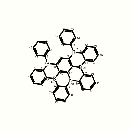 c1ccc(B2c3ccccc3B3c4ccccc4N4c5ccccc5B5c6ccccc6B(c6ccccc6)c6cc2c3c4c65)cc1